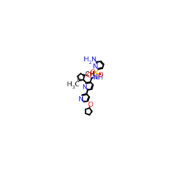 C[C@@H]1CC[C@H](C)C1c1nc(-c2cncc(OC3CCCC3)c2)ccc1C(=O)NS(=O)(=O)c1cccc(N)n1